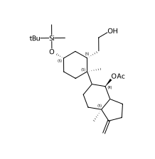 C=C1CCC2[C@H](OC(C)=O)C([C@@]3(C)CC[C@H](O[Si](C)(C)C(C)(C)C)C[C@@H]3CCO)CC[C@]12C